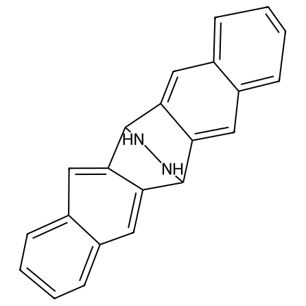 c1ccc2cc3c(cc2c1)C1NNC3c2cc3ccccc3cc21